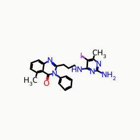 Cc1nc(N)nc(NCCCc2nc3cccc(C)c3c(=O)n2-c2ccccc2)c1I